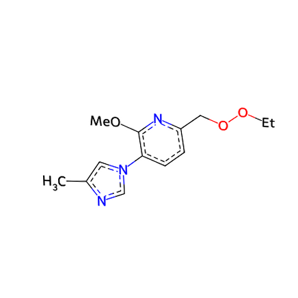 CCOOCc1ccc(-n2cnc(C)c2)c(OC)n1